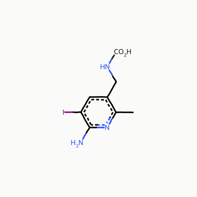 Cc1nc(N)c(I)cc1CNC(=O)O